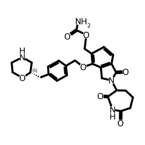 NC(=O)OCc1ccc2c(c1OCc1ccc(C[C@H]3CNCCO3)cc1)CN(C1CCCC(=O)NC1=O)C2=O